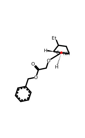 CCC1CC2C[C@H](OCC(=O)OCc3ccccc3)[C@@H]1CN2